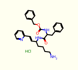 Cl.NCCCCC(/C=C/c1ccccn1)NC(=O)C(Cc1ccccc1)NC(=O)OCc1ccccc1